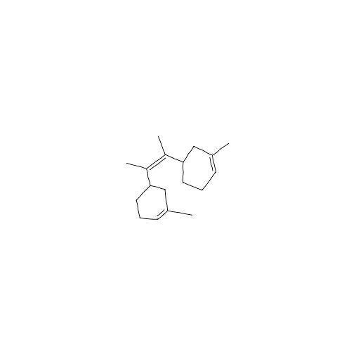 CC1=CCCC(C(C)=C(C)C2CCC=C(C)C2)C1